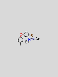 CCN1/C(=C/C(C)=O)Sc2ccc3oc4ccc(C)cc4c3c21